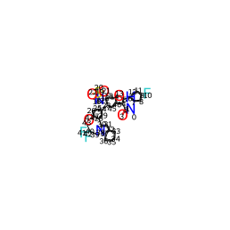 CNC(=O)c1c(-c2ccc(F)cc2)oc2cc(N(C)S(C)(=O)=O)c(-c3ccc4c(c3)-c3cc5ccccc5n3CC(F)(F)CO4)cc12